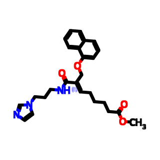 COC(=O)CCCC/C=C(\COc1cccc2ccccc12)C(=O)NCCCn1ccnc1